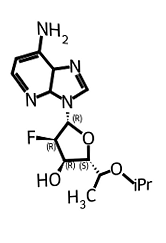 CC(C)OC(C)[C@H]1O[C@@H](N2C=NC3C(N)=CC=NC32)[C@H](F)[C@@H]1O